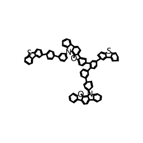 c1cc(-c2ccc(-n3c4ccccc4c4ccc5c6ccccc6oc5c43)cc2)cc(-c2ccc(-c3ccc4sc5ccccc5c4c3)cc2-c2ccc3oc4c(ccc5c6ccccc6n(-c6cccc(-c7ccc(-c8ccc9sc%10ccccc%10c9c8)cc7)c6)c54)c3c2)c1